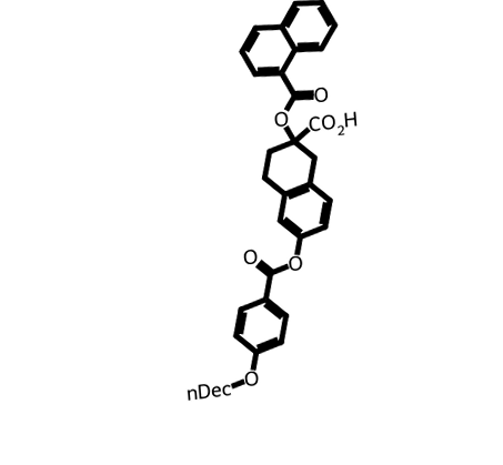 CCCCCCCCCCOc1ccc(C(=O)Oc2ccc3c(c2)CCC(OC(=O)c2cccc4ccccc24)(C(=O)O)C3)cc1